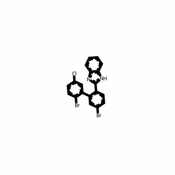 Clc1ccc(Br)c(-c2cc(Br)ccc2-c2nc3ccccc3[nH]2)c1